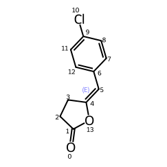 O=C1CC/C(=C\c2ccc(Cl)cc2)O1